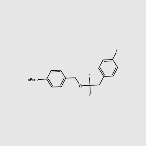 CCCCCc1ccc(COC(F)(F)Cc2ccc(F)cc2)cc1